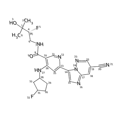 CC(C)(O)[C@H](F)CNC(=O)c1cnc(-c2cnc3cc(C#N)cnn23)cc1NC1CCC(F)C1